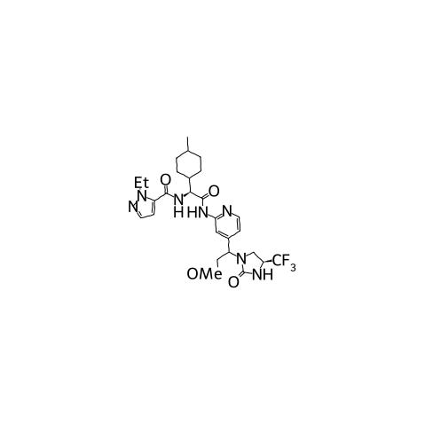 CCn1nccc1C(=O)N[C@H](C(=O)Nc1cc(C(COC)N2C[C@@H](C(F)(F)F)NC2=O)ccn1)C1CCC(C)CC1